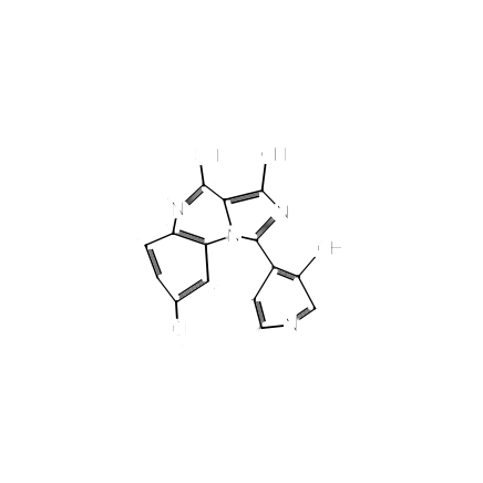 Cc1cnccc1-c1nc(C)c2c(C)nc3ccc(Cl)cc3n12